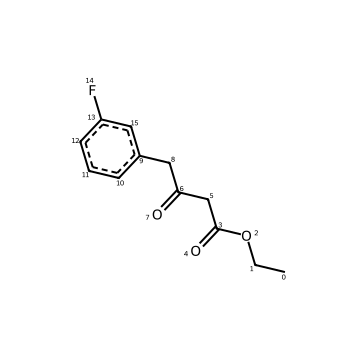 CCOC(=O)CC(=O)Cc1cccc(F)c1